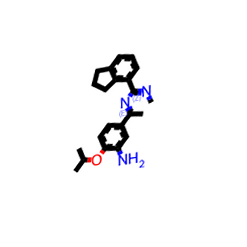 C/N=C(\N=C(/C)c1ccc(OC(C)C)c(N)c1)c1cccc2c1CCC2